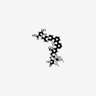 COc1nc(-c2cccc(-c3cccc(-c4ccn5c(=O)c(CN6C[C@@H](O)C[C@H]6C(=O)O)cnc5c4)c3Cl)c2Cl)ccc1CN(C[C@@H]1CCC(=O)N1)C(=O)OC(C)(C)C